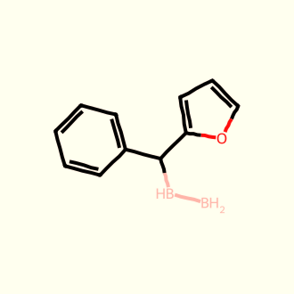 BBC(c1ccccc1)c1ccco1